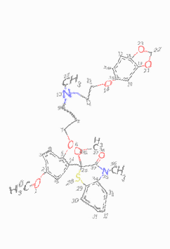 COc1ccc(OCCCN(C)CCOc2ccc3c(c2)OCO3)c(C2(OC)Sc3ccccc3N(C)C2=O)c1